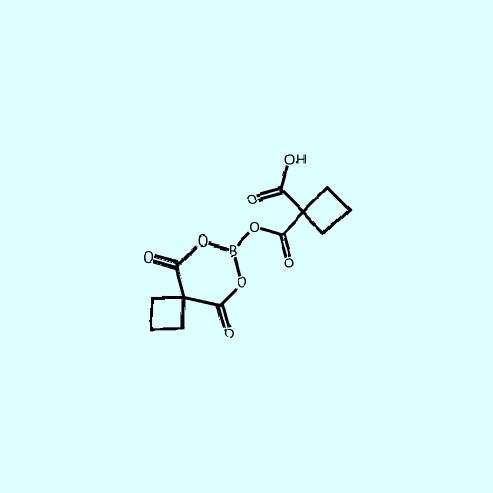 O=C(O)C1(C(=O)OB2OC(=O)C3(CCC3)C(=O)O2)CCC1